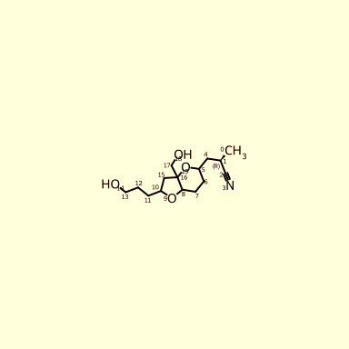 C[C@@H](C#N)CC1CCC2OC(CCCO)CC2(CO)O1